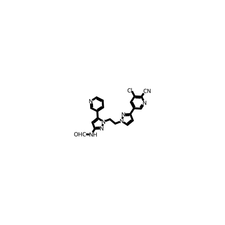 N#Cc1ncc(-c2ccn(CCn3nc(NC=O)cc3-c3cccnc3)n2)cc1Cl